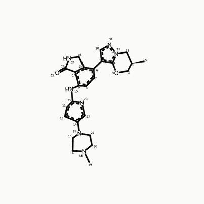 C[C@H]1COc2c(-c3ccc(Nc4ccc(N5CCN(C)CC5)cn4)c4c3CNC4=O)cnn2C1